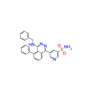 NS(=O)(=O)c1cncc(-c2nnc(NCc3ccccc3)c3c(-c4ccccc4)cccc23)c1